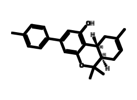 CC1=CC[C@@H]2[C@@H](C1)c1c(O)cc(-c3ccc(C)cc3)cc1OC2(C)C